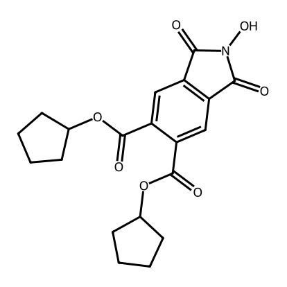 O=C(OC1CCCC1)c1cc2c(cc1C(=O)OC1CCCC1)C(=O)N(O)C2=O